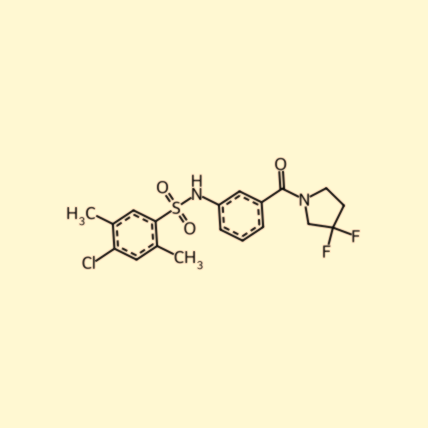 Cc1cc(S(=O)(=O)Nc2cccc(C(=O)N3CCC(F)(F)C3)c2)c(C)cc1Cl